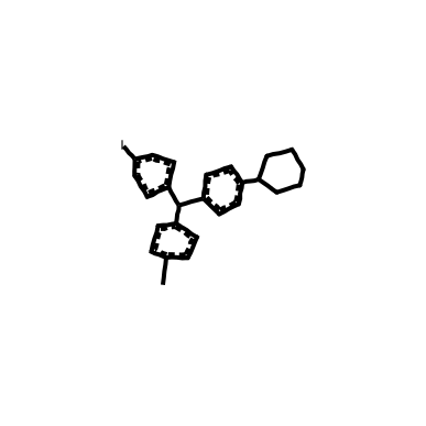 Cc1ccc(C(c2ccc(I)cc2)c2ccc(C3CCCCC3)cc2)cc1